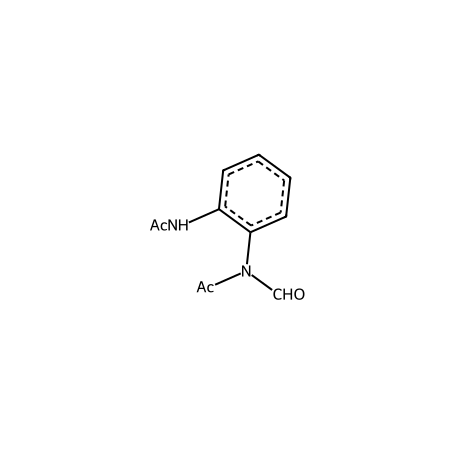 CC(=O)Nc1ccccc1N(C=O)C(C)=O